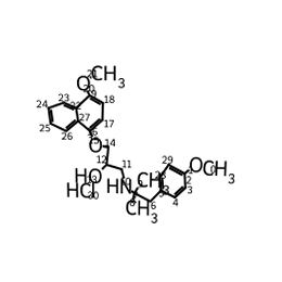 COc1ccc(CC(C)(C)NCC(O)COc2ccc(OC)c3ccccc23)cc1.Cl